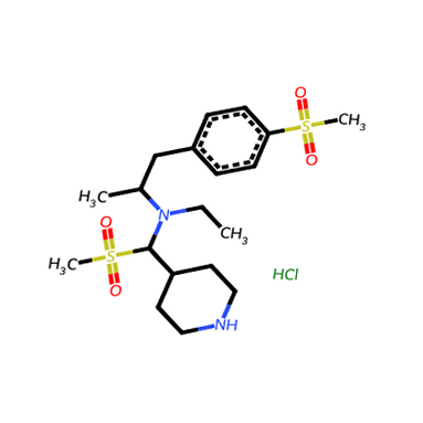 CCN(C(C)Cc1ccc(S(C)(=O)=O)cc1)C(C1CCNCC1)S(C)(=O)=O.Cl